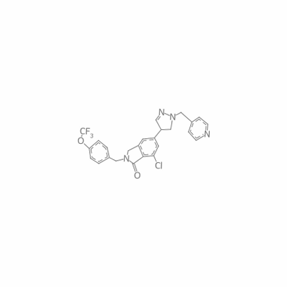 O=C1c2c(Cl)cc(C3C=NN(Cc4ccncc4)C3)cc2CN1Cc1ccc(OC(F)(F)F)cc1